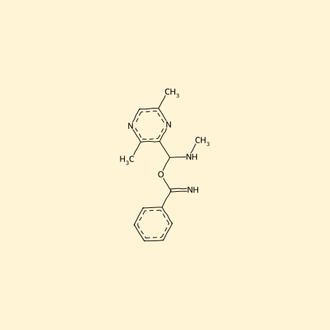 CNC(OC(=N)c1ccccc1)c1nc(C)cnc1C